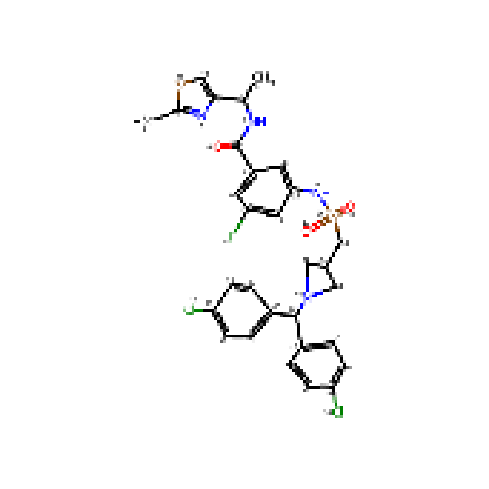 Cc1nc(C(C)NC(=O)c2cc(F)cc(NS(=O)(=O)CC3CN(C(c4ccc(Cl)cc4)c4ccc(Cl)cc4)C3)c2)cs1